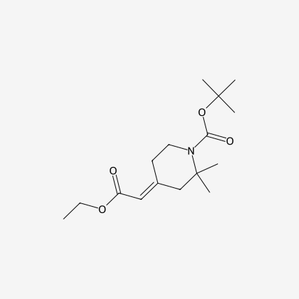 CCOC(=O)C=C1CCN(C(=O)OC(C)(C)C)C(C)(C)C1